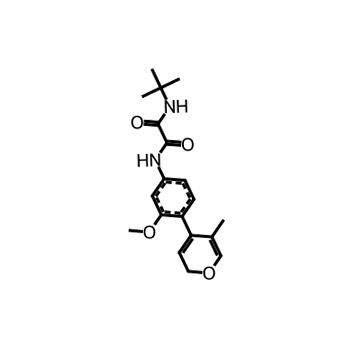 COc1cc(NC(=O)C(=O)NC(C)(C)C)ccc1C1=CCOC=C1C